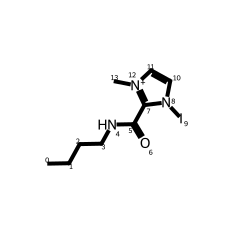 CCCCNC(=O)c1n(I)cc[n+]1C